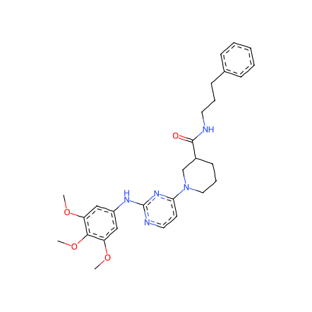 COc1cc(Nc2nccc(N3CCCC(C(=O)NCCCc4ccccc4)C3)n2)cc(OC)c1OC